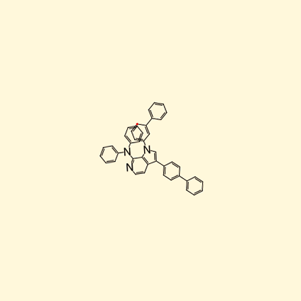 c1ccc(-c2ccc(-c3cn(-c4cccc(-c5ccccc5)c4)c4c(N(c5ccccc5)c5ccccc5)nccc34)cc2)cc1